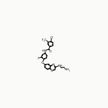 NCCNc1cnc2ccc(Oc3ccc(NC(=O)c4ccc(Cl)c(C(F)(F)F)c4)cc3F)cc2n1